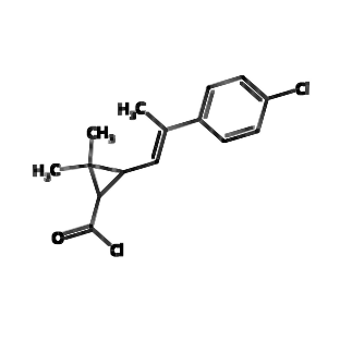 CC(=CC1C(C(=O)Cl)C1(C)C)c1ccc(Cl)cc1